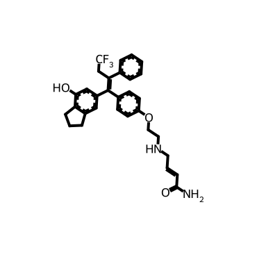 NC(=O)C=CCNCCOc1ccc(/C(=C(/CC(F)(F)F)c2ccccc2)c2cc(O)c3c(c2)CCC3)cc1